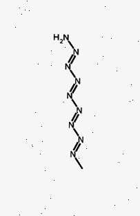 CN=NN=NN=NN=NN